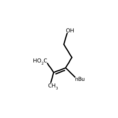 CCCCC(CCO)=C(C)C(=O)O